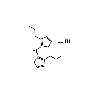 CCCC1=[C]([Hf][C]2=C(CCC)C=CC2)CC=C1.F.F